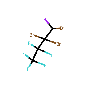 FC(F)(F)C(F)(F)C(Br)(Br)C(Br)I